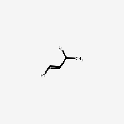 CCC=C[CH](C)[Zr]